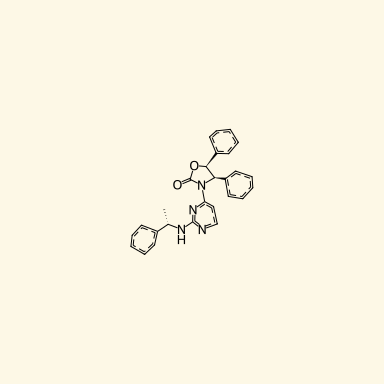 C[C@H](Nc1nccc(N2C(=O)O[C@@H](c3ccccc3)[C@H]2c2ccccc2)n1)c1ccccc1